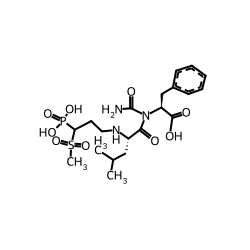 CC(C)C[C@H](NCCC(P(=O)(O)O)S(C)(=O)=O)C(=O)N(C(N)=O)[C@@H](Cc1ccccc1)C(=O)O